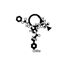 COc1ccc(-c2csc(C(=O)N3C[C@H]4CN5C(=O)[C@@H](NC(=O)OC6CCCCC6)CCCCC/C=C\[C@H]6C[C@@]6(C(=O)NS(=O)(=O)C6CC6)NC(=O)[C@@H]5[C@H]4C3)n2)cc1